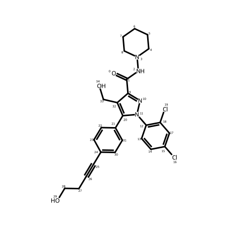 O=C(NN1CCCCC1)c1nn(-c2ccc(Cl)cc2Cl)c(-c2ccc(C#CCCO)cc2)c1CO